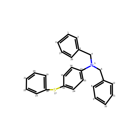 c1ccc(CN(Cc2ccccc2)c2ccc(Sc3ccccc3)cc2)cc1